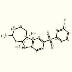 CC1C[C@@H]2Nc3ccc(S(=O)(=O)c4cccc(F)c4)cc3[C@@H]2CCN1